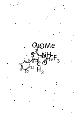 COC(=O)c1sc(-c2ccccc2)c(C)c1NC(=O)C(F)(F)F